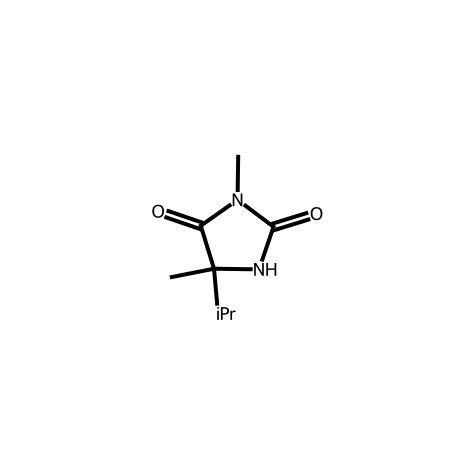 CC(C)C1(C)NC(=O)N(C)C1=O